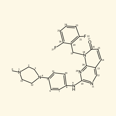 CN1CCN(c2ccc(Nc3ncc4ccc(=O)n(Cc5c(F)cccc5F)c4n3)cc2)CC1